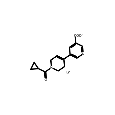 O=C([O-])c1cncc(C2=CCN(C(=O)C3CC3)CC2)c1.[Li+]